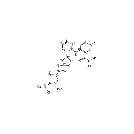 CCN(C(=O)c1cc(F)ccc1Oc1nncnc1N1CCC2(C1)CN([C@H](C[C@@H](CN(C)C)OC)C(C)C)C2)C(C)C